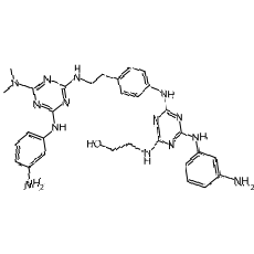 CN(C)c1nc(NCCc2ccc(Nc3nc(NCCO)nc(Nc4cccc(N)c4)n3)cc2)nc(Nc2cccc(N)c2)n1